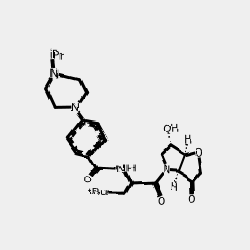 CC(C)N1CCN(c2ccc(C(=O)NC(CC(C)(C)C)C(=O)N3C[C@H](O)[C@H]4OCC(=O)[C@H]43)cc2)CC1